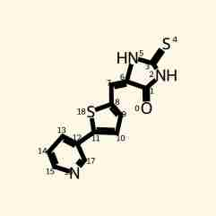 O=C1NC(=S)NC1=Cc1ccc(-c2cccnc2)s1